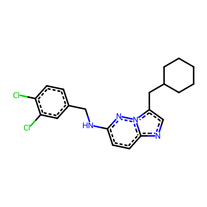 Clc1ccc(CNc2ccc3ncc(CC4CCCCC4)n3n2)cc1Cl